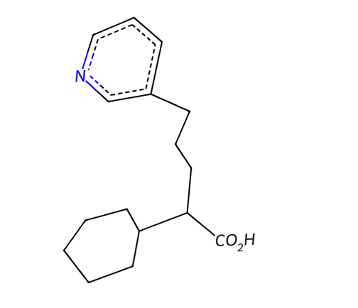 O=C(O)C(CCCc1cccnc1)C1CCCCC1